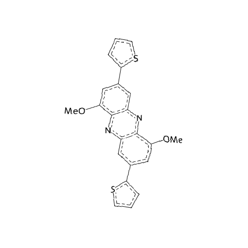 COc1cc(-c2cccs2)cc2nc3c(OC)cc(-c4cccs4)cc3nc12